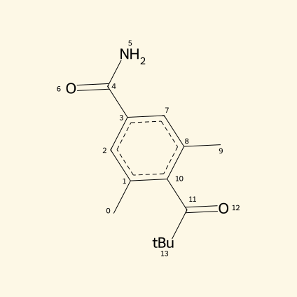 Cc1cc(C(N)=O)cc(C)c1C(=O)C(C)(C)C